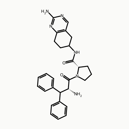 Nc1ncc2c(n1)CCC(NC(=O)[C@@H]1CCCN1C(=O)[C@H](N)C(c1ccccc1)c1ccccc1)C2